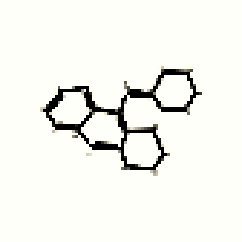 c1ccc2c(N=C3CCCCC3)c3c(nc2c1)CCCC3